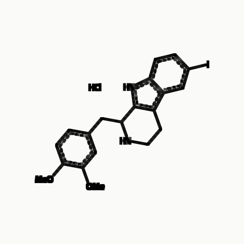 COc1ccc(CC2NCCc3c2[nH]c2ccc(I)cc32)cc1OC.Cl